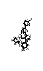 Cc1ccc(-c2nc(-c3ncn4c3c(=O)n(C3(C)CCCO3)c3cc(F)ccc34)no2)o1